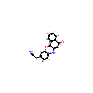 N#CCc1ccc(NC2=CC(=O)c3ccccc3C2=O)cc1